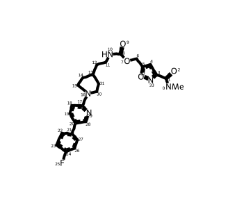 CNC(=O)c1cc(COC(=O)NCCC2CCN(c3ccc(-c4ccc(F)cc4)cn3)CC2)on1